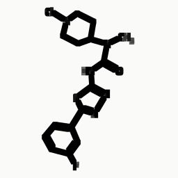 CN(C(=O)Nc1nnc(-c2cccc(F)c2)s1)C1CCN(Cl)CC1